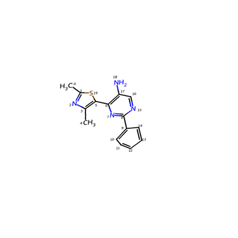 Cc1nc(C)c(-c2nc(-c3ccccc3)ncc2N)s1